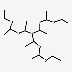 CCOC(C)OC(C)N(C(C)OC(C)OCC)C(C)OC(C)OCC